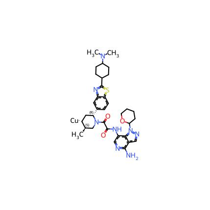 C[C@H]1CC[C@H](c2ccc3sc(C4CCC(N(C)C)CC4)nc3c2)N(C(=O)C(=O)Nc2cnc(N)c3cnn(C4CCCCO4)c23)C1.[Cu]